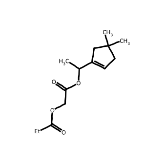 CCC(=O)OCC(=O)OC(C)C1=CCC(C)(C)C1